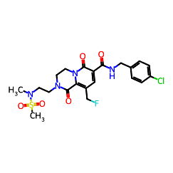 CN(CCN1CCn2c(c(CF)cc(C(=O)NCc3ccc(Cl)cc3)c2=O)C1=O)S(C)(=O)=O